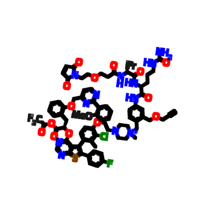 C#CCOCc1cc(NC(=O)[C@H](CCCNC(N)=O)NC(=O)[C@@H](NC(=O)CCOCCN2C(=O)C=CC2=O)C(C)C)ccc1C[N+]1(C)CCN(CCOc2ccc(-c3c(-c4ccc(F)cc4)sc4ncnc(O[C@H](Cc5ccccc5OCc5ccnc(-c6ccccc6OC)n5)C(=O)OC(=O)C(F)(F)F)c34)c(C)c2Cl)CC1